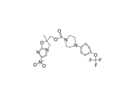 CC1(COC(=O)N2CCN(c3ccc(OC(F)(F)F)cc3)CC2)Cn2cc([N+](=O)[O-])nc2O1